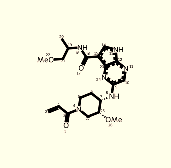 C=CC(=O)N1CC[C@H](Nc2cnc3[nH]cc(C(=O)NC(C)COC)c3n2)[C@H](OC)C1